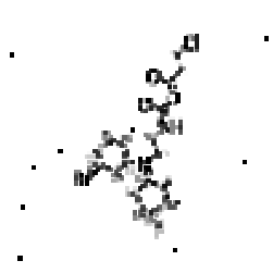 O=C(CCCl)OC(=O)NCCN(c1ccc(F)cc1)c1cccc(Br)c1